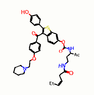 CC/C=C\CC(=O)NCCC(NC(=O)Oc1ccc2c(C(=O)c3ccc(OCCN4CCCCC4)cc3)c(-c3ccc(O)cc3)sc2c1)C(C)=O